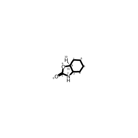 O=C1NC2CCCC[C@@H]2O1